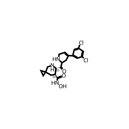 O=C(NO)[C@H]1CC2(CC2)CN[C@@H]1C(=O)C1CC(c2cc(Cl)cc(Cl)c2)=CCN1